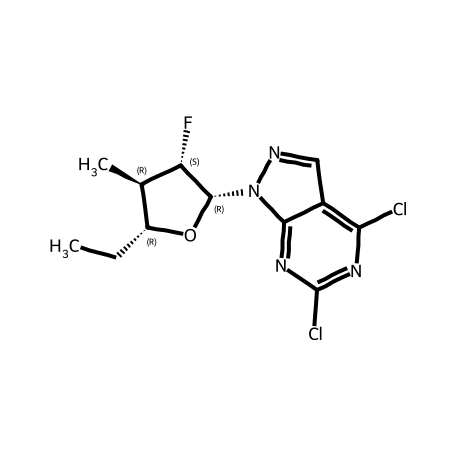 CC[C@H]1O[C@@H](n2ncc3c(Cl)nc(Cl)nc32)[C@@H](F)[C@@H]1C